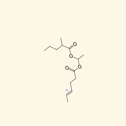 C/C=C/CCC(=O)OC(C)OC(=O)C(C)CCC